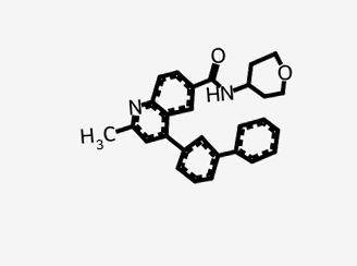 Cc1cc(-c2cccc(-c3ccccc3)c2)c2cc(C(=O)NC3CCOCC3)ccc2n1